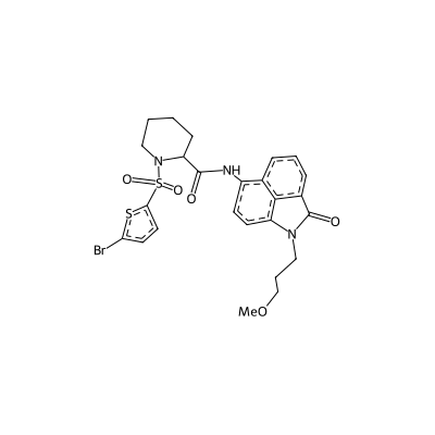 COCCCN1C(=O)c2cccc3c(NC(=O)C4CCCCN4S(=O)(=O)c4ccc(Br)s4)ccc1c23